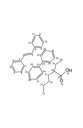 C(=Cc1ccccc1)c1ccccc1.CCCCC(CC)C(=O)O.c1ccc(-c2ccccc2)cc1